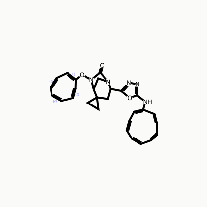 O=C1N2CC(N1OC1=C/C=C\C=C/C=C\1)C1(CC1)CC2c1nnc(Nc2ccccccccc2)o1